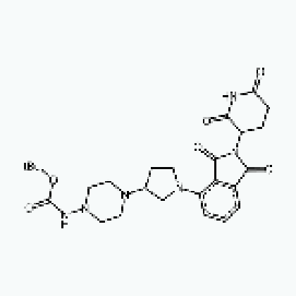 CC(C)(C)OC(=O)NN1CCN(C2CCN(c3cccc4c3C(=O)N(C3CCC(=O)NC3=O)C4=O)C2)CC1